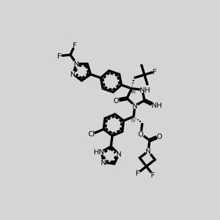 CC(C)(F)C[C@]1(c2ccc(-c3cnn(C(F)F)c3)cc2)NC(=N)N([C@H](COC(=O)N2CC(F)(F)C2)c2ccc(Cl)c(-c3ncn[nH]3)c2)C1=O